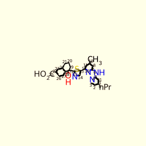 CCCc1ccnc(Nc2cc(C)cc(-c3cnc([C@]4(O)CCCc5cc(C(=O)O)ccc54)s3)n2)c1